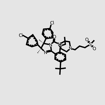 CCOc1ccc(C(C)(C)C)cc1C1=N[C@@](C)(c2ccc(Cl)cc2)[C@@](C)(c2ccc(Cl)cc2)N1C(=O)N1CCN(CCCS(C)(=O)=O)CC1